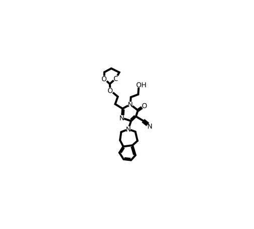 N#Cc1c(N2CCc3ccccc3CC2)nc(CCOC2CCCCO2)n(CCO)c1=O